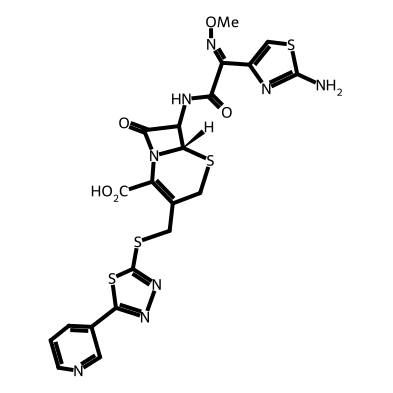 CON=C(C(=O)NC1C(=O)N2C(C(=O)O)=C(CSc3nnc(-c4cccnc4)s3)CS[C@@H]12)c1csc(N)n1